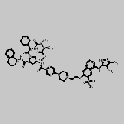 Cc1n[nH]c(Nc2ncnc3cc(OCCN4CCN(c5cnc(C(=O)N[C@H]6C[C@@H](C(=O)N[C@@H]7CCCc8ccccc87)N(C(=O)[C@@H](NC(=O)[C@H](C)N(C)C(=O)OC(C)(C)C)C7CCCCC7)C6)cn5)CC4)c(S(=O)(=O)C(C)(C)C)cc23)c1C